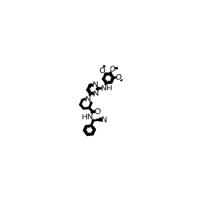 COc1cc(Nc2nccc(N3CCCC(C(=O)NC(C#N)c4ccccc4)C3)n2)cc(OC)c1OC